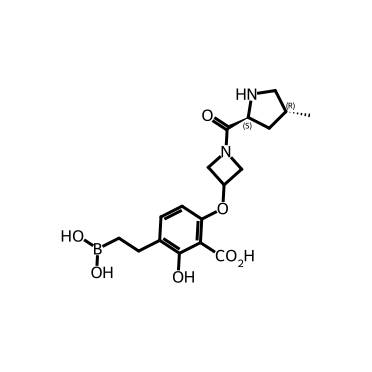 C[C@H]1CN[C@H](C(=O)N2CC(Oc3ccc(CCB(O)O)c(O)c3C(=O)O)C2)C1